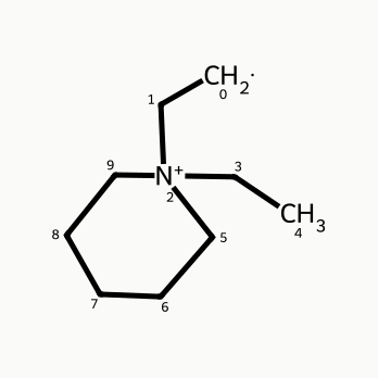 [CH2]C[N+]1(CC)CCCCC1